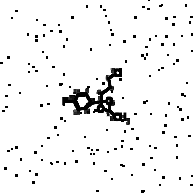 CC1OC(CCCCl)(c2ccc(F)cc2)O1